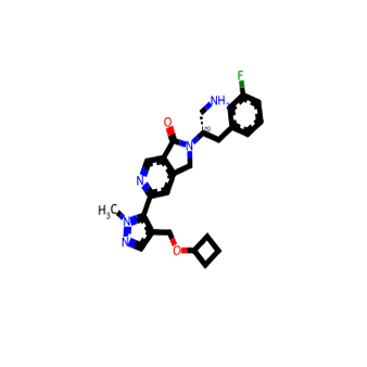 Cn1ncc(COC2CCC2)c1-c1cc2c(cn1)C(=O)N([C@H](CN)Cc1cccc(F)c1)C2